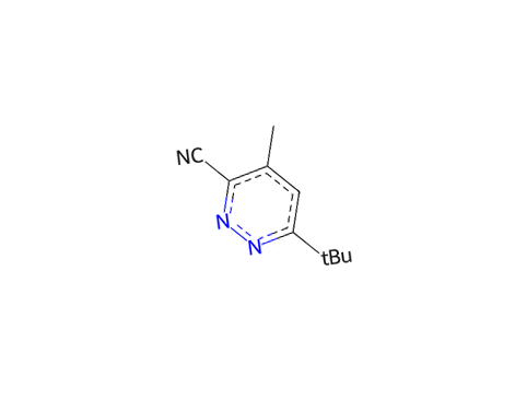 Cc1cc(C(C)(C)C)nnc1C#N